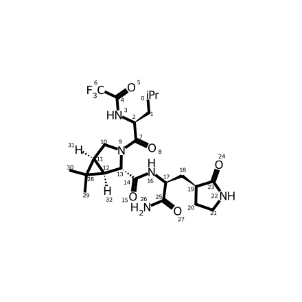 CC(C)C[C@H](NC(=O)C(F)(F)F)C(=O)N1C[C@H]2[C@@H]([C@H]1C(=O)N[C@@H](C[C@@H]1CCNC1=O)C(N)=O)C2(C)C